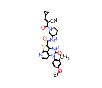 CCOc1ccc(N2C(=O)Nc3c(C(=O)N[C@@H]4CCCN(C(=O)/C(C#N)=C/C5CC5)C4)sc4nccc2c34)c(C)c1